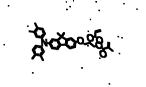 C=CC(=O)OC(COC(=O)C(=C)C)COc1ccc2c(c1)C(C)(C)c1cc(N(c3ccc(C)c(C)c3)c3ccc(C)c(C)c3)ccc1-2